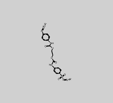 [N-]=[N+]=Nc1ccc(NC(=O)OCCOC(=O)Nc2ccc(S(=O)(=O)N=[N+]=[N-])cc2)cc1